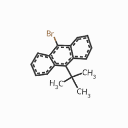 CC(C)(C)c1c2ccccc2c(Br)c2ccccc12